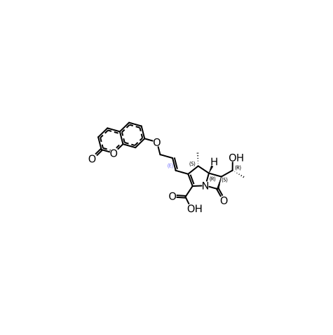 C[C@@H](O)[C@H]1C(=O)N2C(C(=O)O)=C(/C=C/COc3ccc4ccc(=O)oc4c3)[C@H](C)[C@H]12